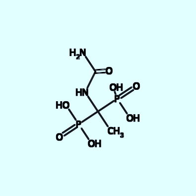 CC(NC(N)=O)(P(=O)(O)O)P(=O)(O)O